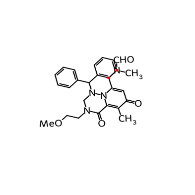 COCCN1CN(C(c2ccccc2)c2ccccc2)n2c(CN(C)C=O)cc(=O)c(C)c2C1=O